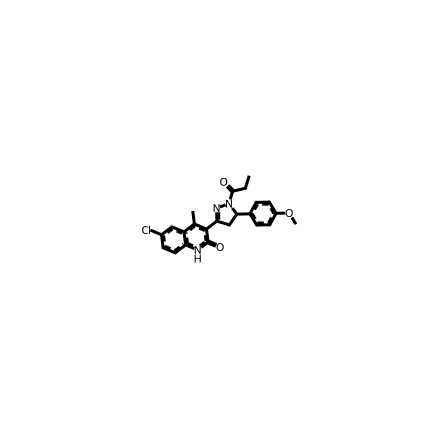 CCC(=O)N1N=C(c2c(C)c3cc(Cl)ccc3[nH]c2=O)CC1c1ccc(OC)cc1